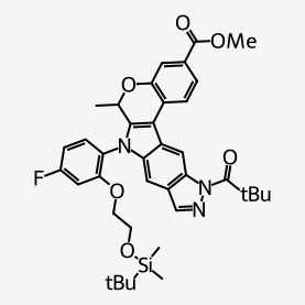 COC(=O)c1ccc2c(c1)OC(C)c1c-2c2cc3c(cnn3C(=O)C(C)(C)C)cc2n1-c1ccc(F)cc1OCCO[Si](C)(C)C(C)(C)C